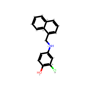 Oc1ccc(NCc2cccc3ccccc23)cc1Cl